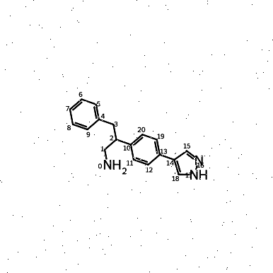 NCC(Cc1ccccc1)c1ccc(-c2cn[nH]c2)cc1